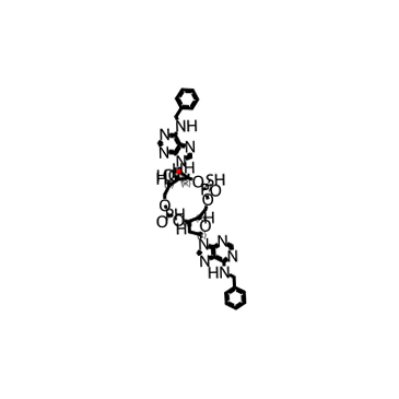 O=[PH]1OC[C@H]2O[C@@H](n3cnc4c(NCc5ccccc5)ncnc43)[C@H](O[P@@](=O)(S)OC[C@H]3O[C@@H](n4cnc5c(NCc6ccccc6)ncnc54)C[C@@H]3O1)[C@@H]2O